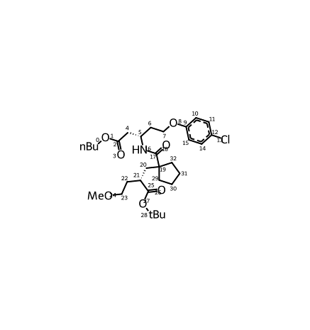 CCCCOC(=O)C[C@H](CCOc1ccc(Cl)cc1)NC(=O)C1(C[C@@H](CCOC)C(=O)OC(C)(C)C)CCCC1